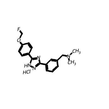 CN(C)Cc1cccc(-c2n[nH]c(-c3ccc(OCF)cc3)n2)c1.Cl